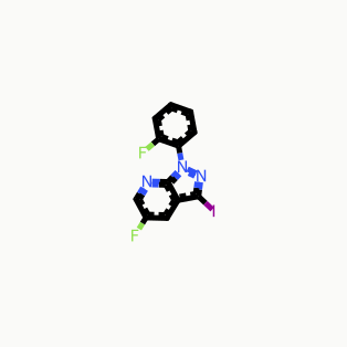 Fc1cnc2c(c1)c(I)nn2-c1ccccc1F